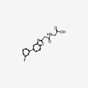 O=C(O)CNC(=O)Cc1nc2cc(-c3cccc(F)c3)ccc2s1